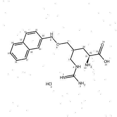 Cl.N=C(N)NCC(CONc1ccc2ccccc2c1)C[C@H](N)C(=O)O